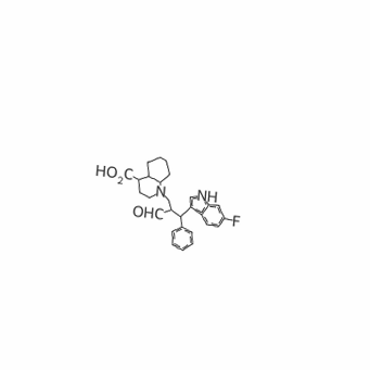 O=CC(CN1CCC(C(=O)O)C2CCCCC21)C(c1ccccc1)c1c[nH]c2cc(F)ccc12